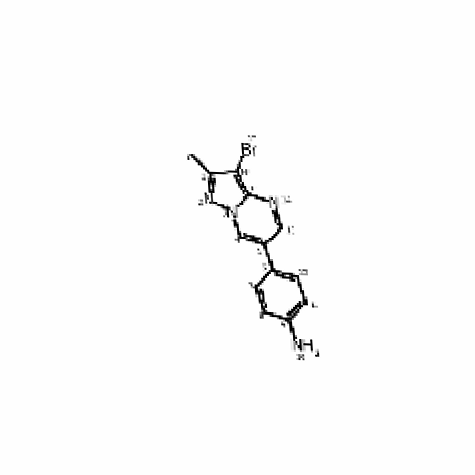 Cc1nn2cc(-c3ccc(N)cc3)cnc2c1Br